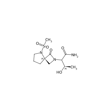 C[C@@H](O)C(C(N)=O)N1C[C@]2(CCCN2S(C)(=O)=O)C1=O